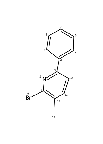 Brc1nc(-c2ccccc2)ccc1I